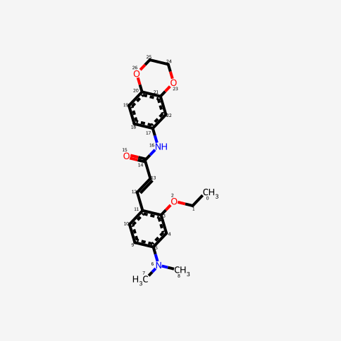 CCOc1cc(N(C)C)ccc1C=CC(=O)Nc1ccc2c(c1)OCCO2